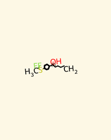 C=CCCC[C@H](O)c1ccc(SC(C)(F)F)cc1